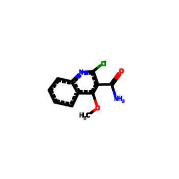 COc1c(C(N)=O)c(Cl)nc2ccccc12